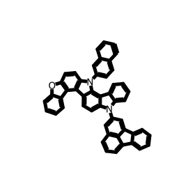 c1ccc2cc(-n3c4ccc5oc6ccccc6c5c4c4ccc5c(c6ccccc6n5-c5cc6c7c(cccc7c5)-c5ccccc5-6)c43)ccc2c#1